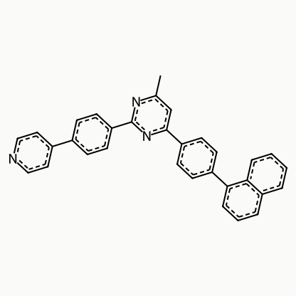 Cc1cc(-c2ccc(-c3cccc4ccccc34)cc2)nc(-c2ccc(-c3ccncc3)cc2)n1